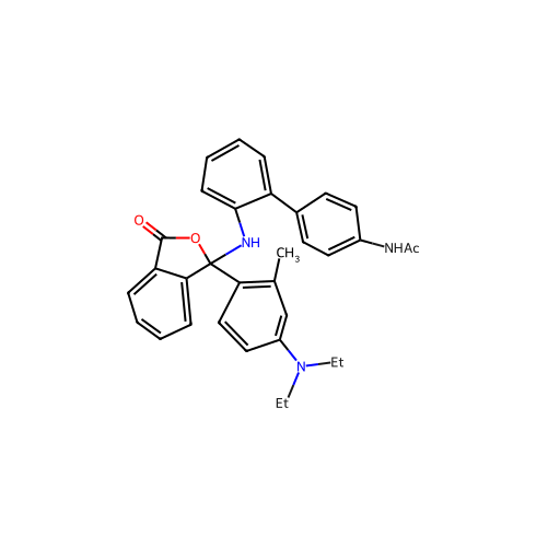 CCN(CC)c1ccc(C2(Nc3ccccc3-c3ccc(NC(C)=O)cc3)OC(=O)c3ccccc32)c(C)c1